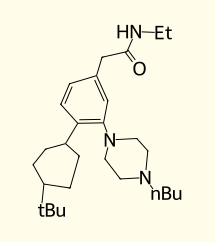 CCCCN1CCN(c2cc(CC(=O)NCC)ccc2C2CCC(C(C)(C)C)CC2)CC1